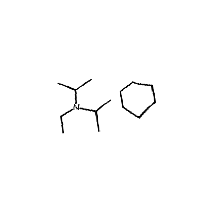 C1CCCCC1.CCN(C(C)C)C(C)C